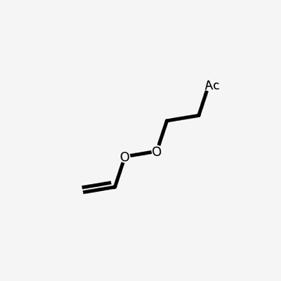 C=COOCCC(C)=O